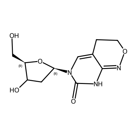 O=C1NC2=NOCCC2=CN1[C@H]1CC(O)[C@@H](CO)O1